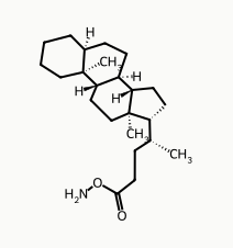 C[C@H](CCC(=O)ON)[C@H]1CC[C@H]2[C@@H]3CC[C@@H]4CCCC[C@]4(C)[C@H]3CC[C@]12C